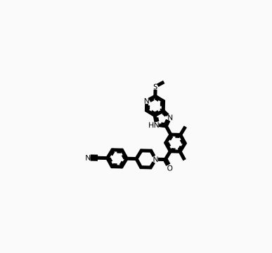 CSc1cc2nc(-c3cc(C(=O)N4CCC(c5ccc(C#N)cc5)CC4)c(C)cc3C)[nH]c2cn1